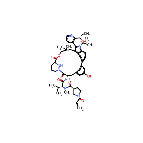 C=CC(=O)N1CC[C@H](C(=O)N(C)[C@H](C(=O)N[C@H]2Cc3cc(O)cc(c3)-c3ccc4c(c3)c(c(-c3cccnc3[C@H](CC)OC)n4CC)CC(C)(C)COC(=O)[C@@H]3CCCN(N3)C2=O)C(C)C)C1